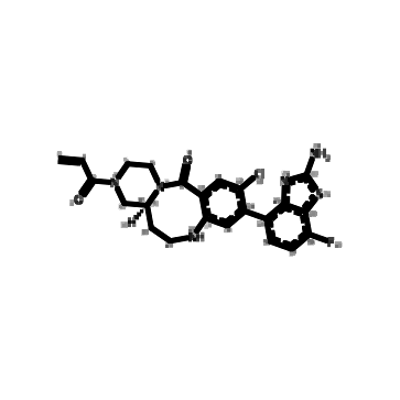 C=CC(=O)N1CCN2C(=O)c3cc(Cl)c(-c4ccc(F)c5sc(N)nc45)cc3NCC[C@H]2C1